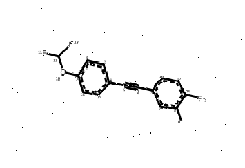 Cc1cc(C#Cc2ccc(OC(F)F)cc2)ccc1F